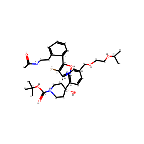 CC(=O)NCCc1ccccc1-c1onc([C@H]2CN(C(=O)OC(C)(C)C)CC[C@]2(O)c2ccc(COCCOC(C)C)cc2)c1Br